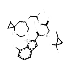 N#C[C@H](C[C@H]1COCNC2(CC2)C1)NC(=O)[C@H](CC1CC1(F)F)NC(=O)c1cc2cccc(F)c2[nH]1